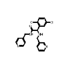 O=C(NCc1ccncc1)C(NCc1cccnc1)c1cc(Cl)ccc1Cl